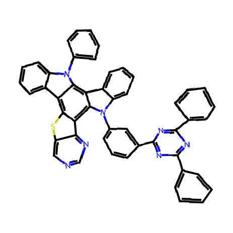 c1ccc(-c2nc(-c3ccccc3)nc(-c3cccc(-n4c5ccccc5c5c6c(c7ccccc7n6-c6ccccc6)c6sc7cncnc7c6c54)c3)n2)cc1